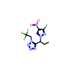 CCC(c1nnnn1CC(F)(F)F)n1cc([N+](=O)[O-])c(F)n1